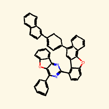 C1=C(c2ccc3ccccc3c2)CCC(c2cc3c(oc4cccc(-c5nc(-c6ccccc6)c6oc7ccccc7c6n5)c43)c3ccccc23)=C1